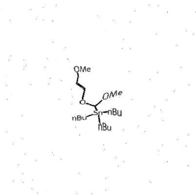 CCC[CH2][Sn]([CH2]CCC)([CH2]CCC)[CH](OC)OCCOC